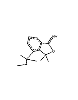 CCC(C)(C)c1cccc2c1C(C)(C)OC2=N